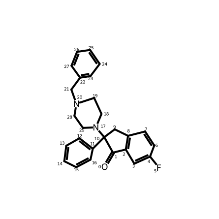 O=C1c2cc(F)ccc2CC1(c1ccccc1)N1CCN(Cc2ccccc2)CC1